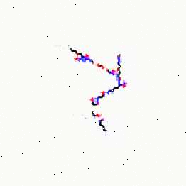 CCC(=O)NCCCCC(NC(=O)CCOCCOCCNC(=O)C(CCCCNC)NC(=O)CC)C(=O)NC(CCCCNC(=O)CCN1C(=O)CC(SCC(NC(C)=O)C(=O)NC(CCCCN)C(N)=O)C1=O)C(N)=O